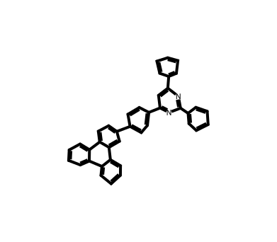 c1ccc(-c2cc(-c3ccc(-c4ccc5c6ccccc6c6ccccc6c5c4)cc3)nc(-c3ccccc3)n2)cc1